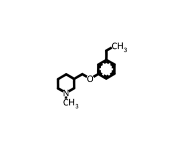 CCc1cccc(OCC2CCCN(C)C2)c1